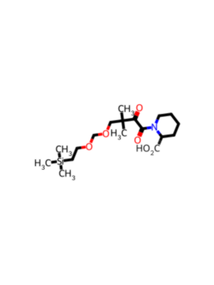 CC(C)(COCOCC[Si](C)(C)C)C(=O)C(=O)N1CCCCC1C(=O)O